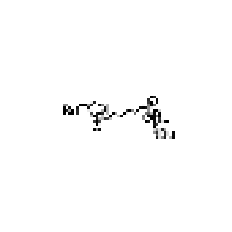 CC(CC(C)(C)C)CP(=O)(O)CCCCCCP(=O)(O)CC(C)CC(C)(C)C